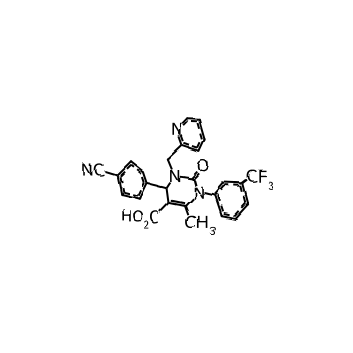 CC1=C(C(=O)O)C(c2ccc(C#N)cc2)N(Cc2ccccn2)C(=O)N1c1cccc(C(F)(F)F)c1